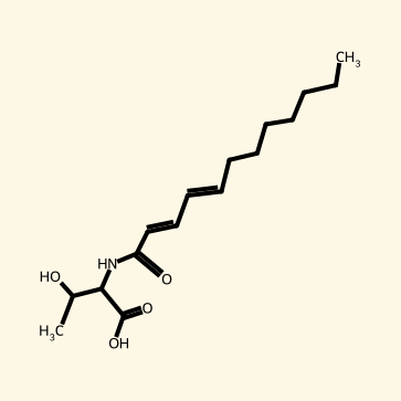 CCCCCCC/C=C/C=C/C(=O)NC(C(=O)O)C(C)O